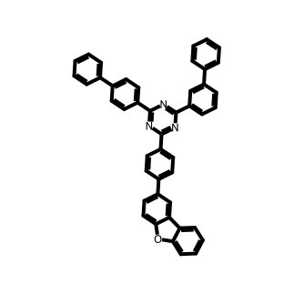 c1ccc(-c2ccc(-c3nc(-c4ccc(-c5ccc6oc7ccccc7c6c5)cc4)nc(-c4cccc(-c5ccccc5)c4)n3)cc2)cc1